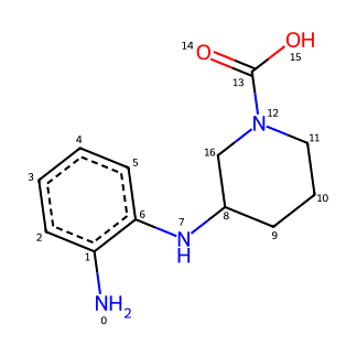 Nc1ccccc1NC1CCCN(C(=O)O)C1